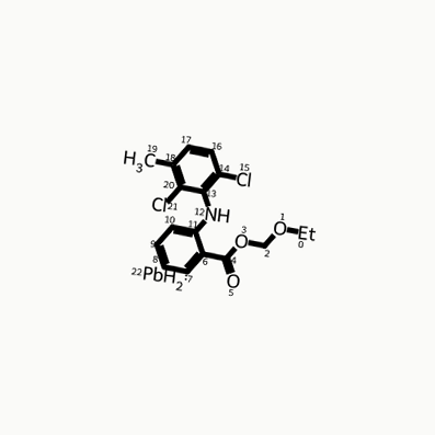 CCOCOC(=O)c1ccccc1Nc1c(Cl)ccc(C)c1Cl.[PbH2]